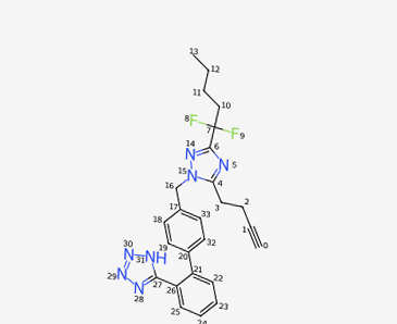 C#CCCc1nc(C(F)(F)CCCC)nn1Cc1ccc(-c2ccccc2-c2nnn[nH]2)cc1